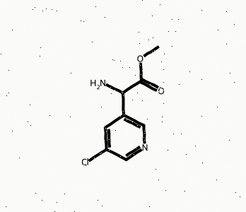 COC(=O)C(N)c1cncc(Cl)c1